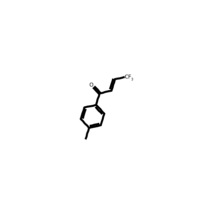 Cc1ccc(C(=O)C=CC(F)(F)F)cc1